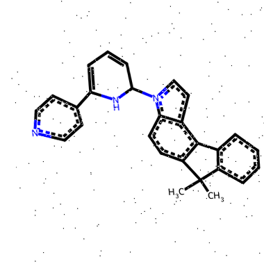 CC1(C)c2ccccc2-c2c1ccc1c2ccn1C1C=CC=C(c2ccncc2)N1